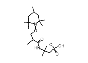 CC1CC(C)(C)N(OCC(C)C(=O)NC(C)(C)CS(=O)(=O)O)C(C)(C)C1